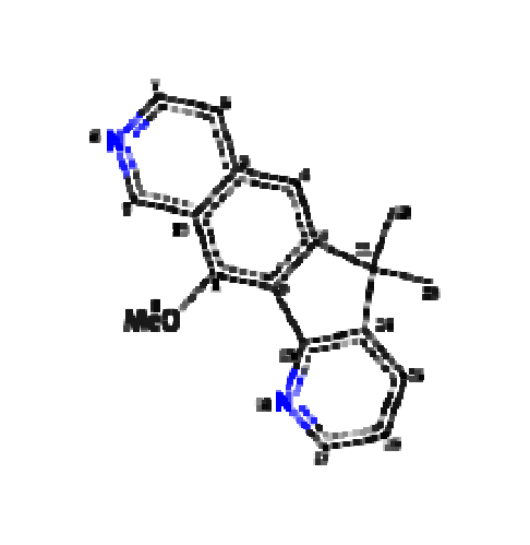 COc1c2c(cc3ccncc13)C(C)(C)c1cccnc1-2